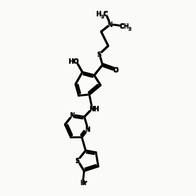 CN(C)CCSC(=O)c1cc(Nc2nccc(-c3ccc(Br)s3)n2)ccc1O